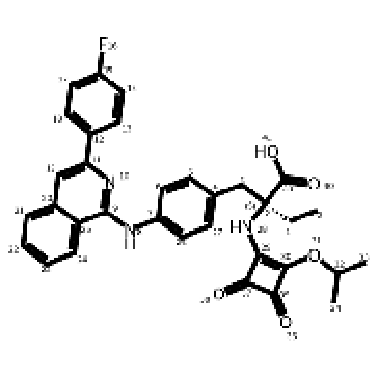 CC[C@@](Cc1ccc(Nc2nc(-c3ccc(F)cc3)cc3ccccc23)cc1)(Nc1c(OC(C)C)c(=O)c1=O)C(=O)O